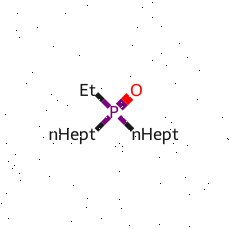 [CH2]CP(=O)(CCCCCCC)CCCCCCC